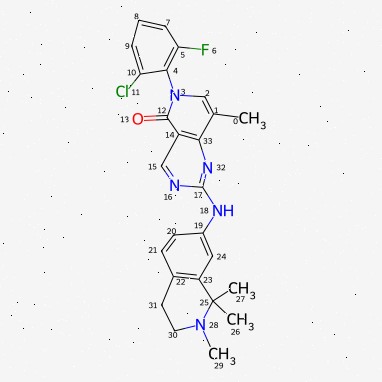 Cc1cn(-c2c(F)cccc2Cl)c(=O)c2cnc(Nc3ccc4c(c3)C(C)(C)N(C)CC4)nc12